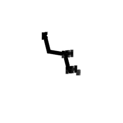 NN[CH2][K]